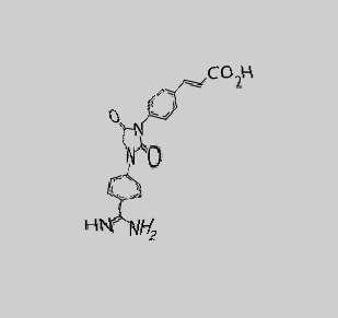 N=C(N)c1ccc(N2CC(=O)N(c3ccc(C=CC(=O)O)cc3)C2=O)cc1